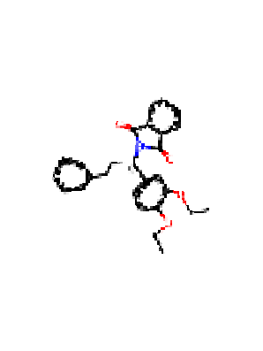 CCOc1ccc([C@@H](CCc2ccccc2)N2C(=O)c3ccccc3C2=O)cc1OCC